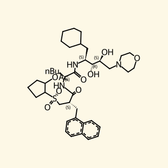 CCCC[C@H](NC(=O)[C@H](Cc1cccc2ccccc12)CS(=O)(=O)C1CCCC1OC(C)=O)C(=O)N[C@@H](CC1CCCCC1)[C@@H](O)[C@@H](O)CN1CCOCC1